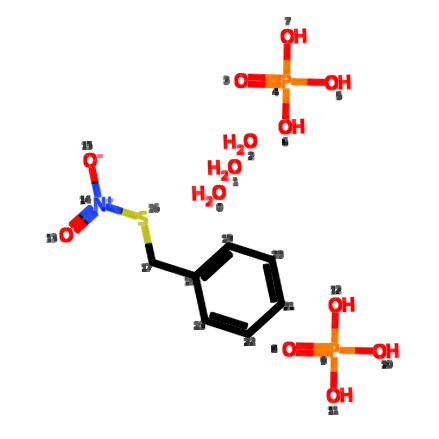 O.O.O.O=P(O)(O)O.O=P(O)(O)O.O=[N+]([O-])SCc1ccccc1